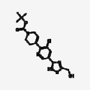 CC(C)(C)OC(=O)N1CC=C(c2ncc(C3N=C(CO)ON3)cc2Cl)CC1